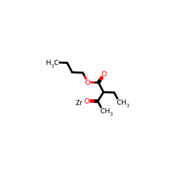 CCCCOC(=O)C(CC)C(C)=O.[Zr]